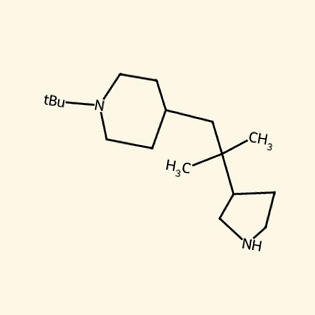 CC(C)(CC1CCN(C(C)(C)C)CC1)C1CCNC1